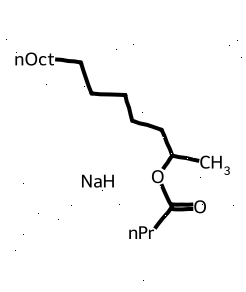 CCCCCCCCCCCCCC(C)OC(=O)CCC.[NaH]